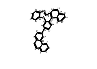 c1ccc2c(c1)ccc1ccc(-c3ccc4c5c6ccccc6ccc5c5nc6ccccc6n5c4c3)cc12